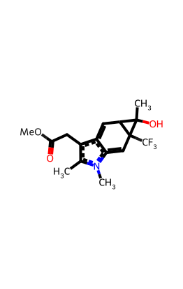 COC(=O)Cc1c(C)n(C)c2c1=CC1C(C)(O)C1(C(F)(F)F)C=2